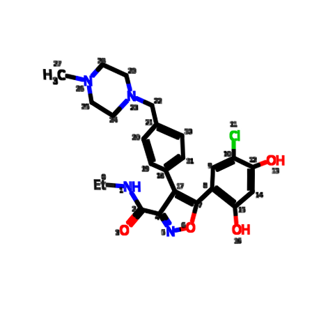 CCNC(=O)c1noc(-c2cc(Cl)c(O)cc2O)c1-c1ccc(CN2CCN(C)CC2)cc1